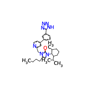 CCCCc1cn(C2C(C)CCCC2C(C)C)c(=O)n1Cc1cc(-c2cccc(-c3nnn[nH]3)c2)ccn1